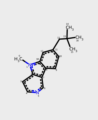 Cn1c2ccncc2c2ccc(CC(C)(C)C)cc21